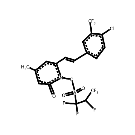 Cc1cc(/C=C/c2ccc(Cl)c(C(F)(F)F)c2)n(OS(=O)(=O)C(F)(F)C(F)C(F)(F)F)c(=O)c1